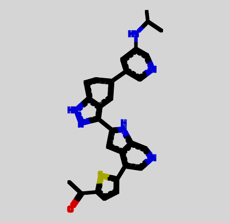 CC(=O)c1ccc(-c2cncc3[nH]c(-c4n[nH]c5ccc(-c6cncc(NC(C)C)c6)cc45)cc23)s1